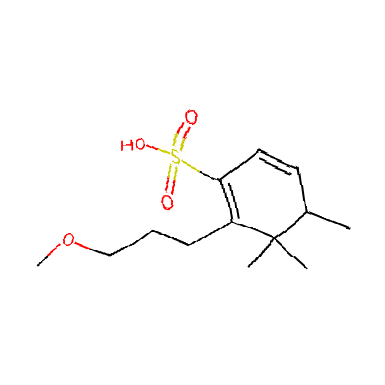 COCCCC1=C(S(=O)(=O)O)C=CC(C)C1(C)C